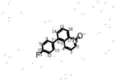 [O-][n+]1cccc2c(-c3ccc(F)cc3)cccc21